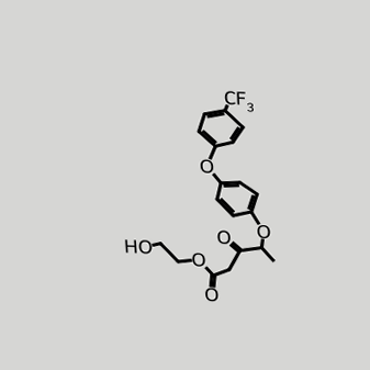 CC(Oc1ccc(Oc2ccc(C(F)(F)F)cc2)cc1)C(=O)CC(=O)OCCO